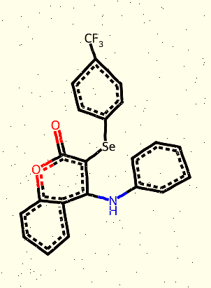 O=c1oc2ccccc2c(Nc2ccccc2)c1[Se]c1ccc(C(F)(F)F)cc1